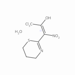 O.O=[N+]([O-])/C(C1=NCCCS1)=C(\O)C(Cl)(Cl)Cl